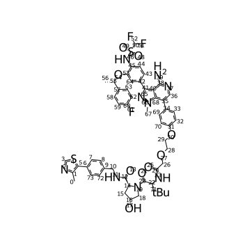 Cc1ncsc1-c1ccc(CNC(=O)[C@@H]2C[C@@H](O)CN2C(=O)[C@@H](NC(=O)COCCOc2ccc(-c3cnc(N)c4c(-c5ccc(NS(=O)(=O)C(F)F)c(O[C@@H](C)c6ccc(F)cc6)c5)nn(C)c34)cc2)C(C)(C)C)cc1